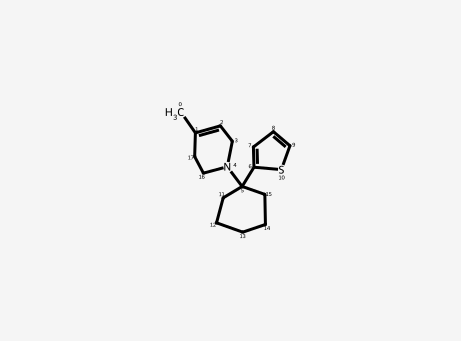 CC1=CCN(C2(c3cccs3)CCCCC2)CC1